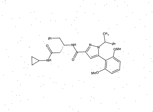 COc1cccc(OC)c1-c1cc(C(=O)N[C@H](CC(=O)NC2CC2)CC(C)C)nn1C(C)C(C)C